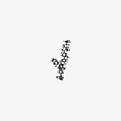 CCN(C)C1CCC(NC(=O)c2ccc(-c3ccc(C[C@H](NC(=O)[C@H]4CC[C@H](CN)CC4)C(=O)Nc4ccc(-c5nnn[nH]5)cc4)cc3)c(C)c2)CC1